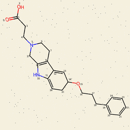 O=C(O)CCN1CCc2c([nH]c3c2=CC(OCCCc2ccccc2)CC=3)C1